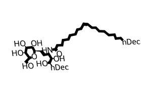 CCCCCCCCCCCCCCCCCC/C=C\CCCCCCCCC(=O)N[C@@H](/C=C/[C@H]1OC(CO)[C@H](O)[C@H](O)C1O)[C@H](O)[C@H](O)CCCCCCCCCC